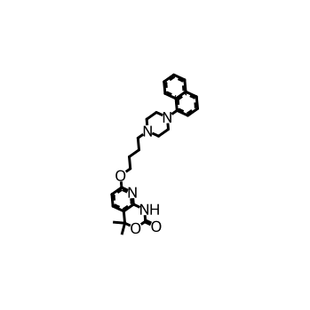 CC1(C)OC(=O)Nc2nc(OCCCCN3CCN(c4cccc5ccccc45)CC3)ccc21